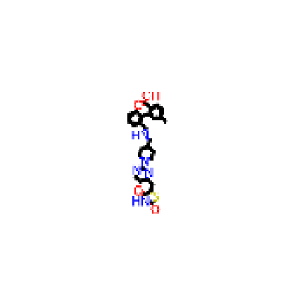 Cc1ccc(C(=O)O)c(-c2ccccc2CNCC2CCN(c3nccc(C=C4SC(=O)NC4=O)n3)CC2)c1